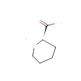 Cl.O=C(O)[C@H]1CCCCN1